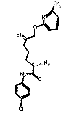 CC[C@H](CCC[C@H](C)C(=O)Nc1ccc(Cl)cc1)COc1cccc(C(F)(F)F)n1